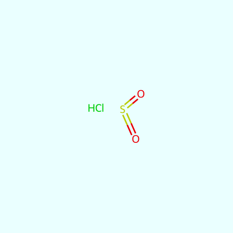 Cl.O=S=O